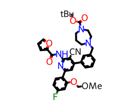 COCOc1cc(F)ccc1-c1cc(-c2cccc(CN3CCCN(C(=O)OC(C)(C)C)CC3)c2)c(C#N)c(NC(=O)c2ccco2)n1